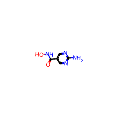 Nc1ncc(C(=O)NO)cn1